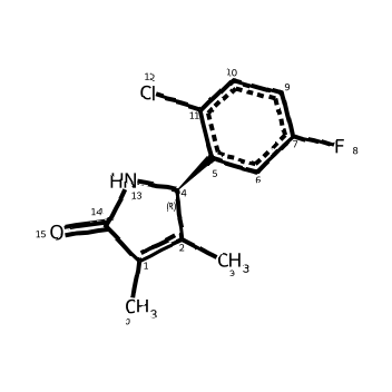 CC1=C(C)[C@H](c2cc(F)ccc2Cl)NC1=O